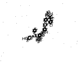 Cc1c(C(=O)NS(C)(=O)=O)c(-c2cccc(N3CCN(c4ccc(NS(=O)(=O)c5ccc(N[C@H](CCN6CCC(C)(O)CC6)CSc6ccccc6)c(S(=O)(=O)C(F)(F)F)c5)cc4)CC3)c2)c(-c2ccc(Cl)cc2)n1C